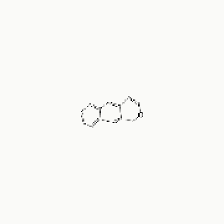 [c]1c2c(cc3ccccc13)C=COC2